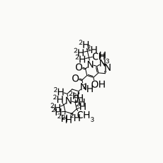 [2H]C(CC([2H])N1C([2H])([2H])C([2H])([2H])C([2H])([2H])C([2H])(C)C1([2H])[2H])N([2H])C(=O)c1c(O)c2cn[nH]c2n(C([2H])(C)C([2H])([2H])[2H])c1=O